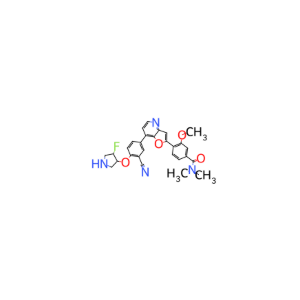 COc1cc(C(=O)N(C)C)ccc1-c1cc2nccc(-c3ccc(OC4CNCC4F)c(C#N)c3)c2o1